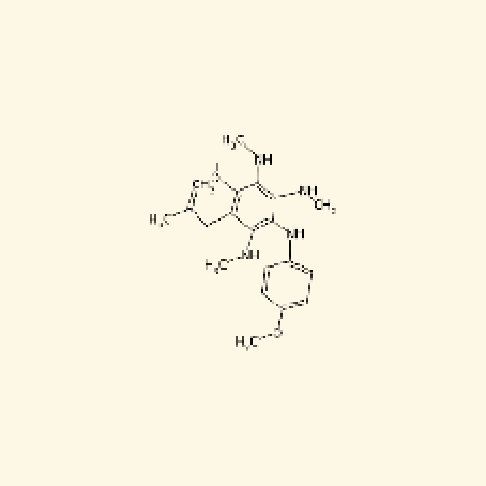 C=C(C)Cc1c(O)c(NC)c(NC)c(Nc2ccc(OC)cc2)c1NC